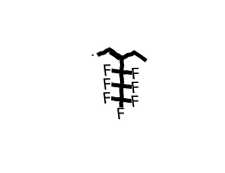 [CH2]C=C(CC)C(F)(F)C(F)(F)C(F)(F)F